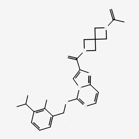 C=C(C)N1CC2(C1)CN(C(=O)c1cn3c(N[C@H](C)c4cccc(C(F)F)c4F)nccc3n1)C2